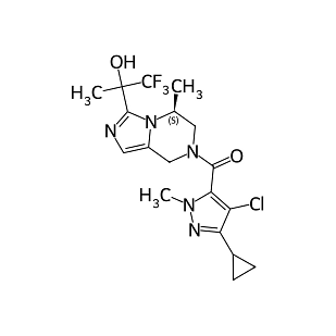 C[C@H]1CN(C(=O)c2c(Cl)c(C3CC3)nn2C)Cc2cnc(C(C)(O)C(F)(F)F)n21